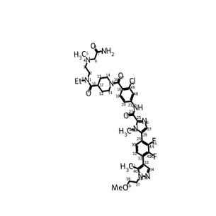 CCN(CCN(C)CC(N)=O)C(=O)C1CCN(C(=O)c2ccc(NC(=O)c3ncc(-c4ccc(-c5cnn(CCOC)c5C)c(F)c4F)n3C)cc2Cl)CC1